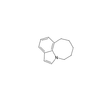 c1cc2c3c(c1)ccn3CCCCC2